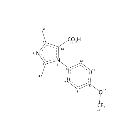 Cc1nc(C)n(-c2ccc(OC(F)(F)F)cc2)c1C(=O)O